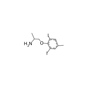 Cc1cc(I)c(OCC(C)N)c(I)c1